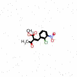 COC(=O)C(=Cc1cccc([N+](=O)[O-])c1Cl)C(C)=O